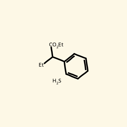 CCOC(=O)C(CC)c1ccccc1.S